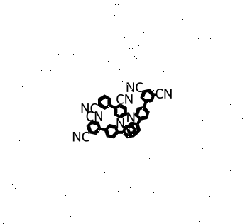 N#Cc1cc(C#N)cc(-c2ccc3c4ccccc4n(-c4cc(C#N)c(-c5cccc(C#N)c5)cc4-n4c5ccccc5c5ccc(-c6cc(C#N)cc(C#N)c6)cc54)c3c2)c1